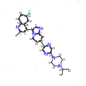 Cc1cc(-c2cnc3cc(-c4cnc(N5CCN(C(C)C)CC5)cn4)ccn23)c2cc(F)ccc2n1